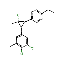 CCc1ccc(C2C(c3cc(C)c(Cl)c(Cl)c3)C2(C)Cl)cc1